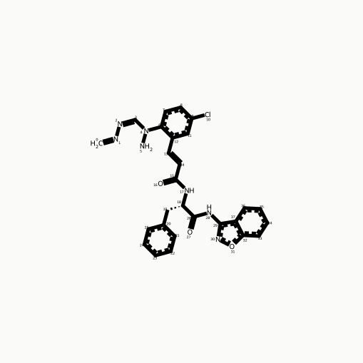 C=N/N=C\N(N)c1ccc(Cl)cc1/C=C/C(=O)N[C@@H](Cc1ccccc1)C(=O)Nc1noc2ccccc12